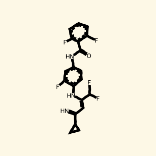 N=C(/C=C(\Nc1ccc(NC(=O)c2c(F)cccc2F)cc1F)C(F)F)C1CC1